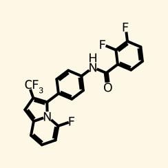 O=C(Nc1ccc(-c2c(C(F)(F)F)cc3cccc(F)n23)cc1)c1cccc(F)c1F